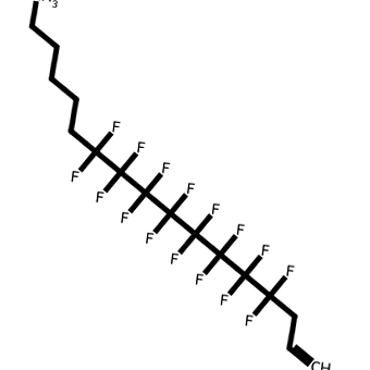 C=CCC(F)(F)C(F)(F)C(F)(F)C(F)(F)C(F)(F)C(F)(F)C(F)(F)C(F)(F)CCCCCC